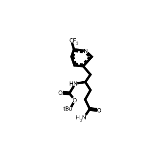 CC(C)(C)OC(=O)NC(CCC(N)=O)Cc1ccc(C(F)(F)F)nc1